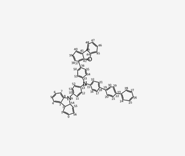 C1=CC2c3ccccc3N(c3ccc(N(c4ccc(-c5ccc(-c6ccccc6)cc5)cc4)c4ccc(-c5cccc6c5oc5ccccc56)cc4)cc3)C2C=C1